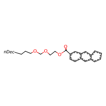 CCCCCCCCCCCCCOCOCCOC(=O)c1ccc2cc3ccccc3cc2c1